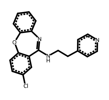 Clc1ccc2c(c1)C(NCCc1ccncc1)=Nc1ccccc1O2